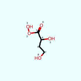 O=C(OO)C(O)CCO